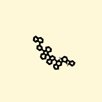 c1cc(-c2cccc3ccccc23)cc(-c2c3ccccc3c(-c3ccc(-c4c5ccccc5cc5c4sc4ccc6c7ccccc7sc6c45)c4ccccc34)c3ccccc23)c1